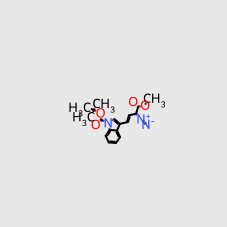 COC(=O)C(C=Cc1cn(C(=O)OC(C)(C)C)c2ccccc12)=[N+]=[N-]